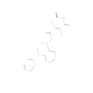 Nc1c(C(=O)N[C@@H]2CC[C@@H](c3ccccc3)c3ccccc32)[nH]c(=O)[nH]c1=O